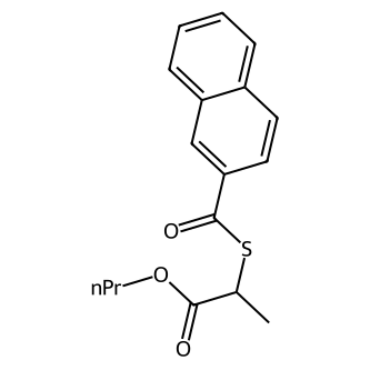 CCCOC(=O)C(C)SC(=O)c1ccc2ccccc2c1